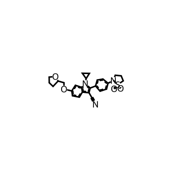 N#Cc1c(-c2ccc(N3CCCS3(=O)=O)cc2)n(C2CC2)c2cc(OCC3CCCO3)ccc12